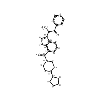 CC(C(=O)c1ccccc1)n1ccc2c(C(=O)N3CCN(C4CCCC4)CC3)cccc21